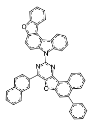 c1ccc(-c2cc3oc4c(-c5ccc6ccccc6c5)nc(-n5c6ccccc6c6c7c(ccc65)oc5ccccc57)nc4c3c3ccccc23)cc1